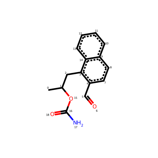 CC(Cc1c(C=O)ccc2ccccc12)OC(N)=O